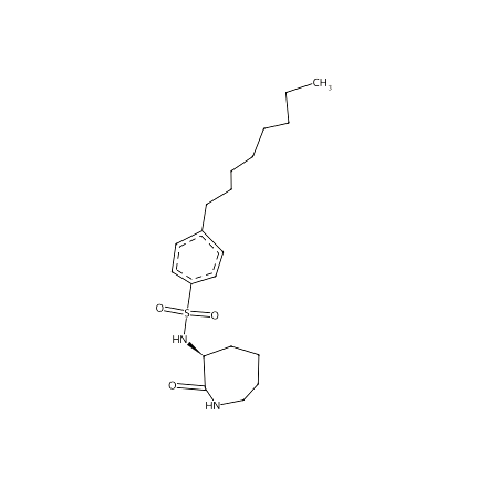 CCCCCCCCc1ccc(S(=O)(=O)N[C@H]2CCCCNC2=O)cc1